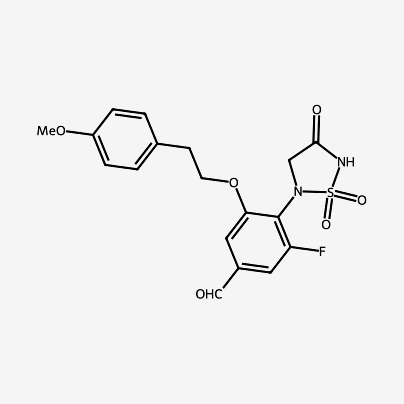 COc1ccc(CCOc2cc(C=O)cc(F)c2N2CC(=O)NS2(=O)=O)cc1